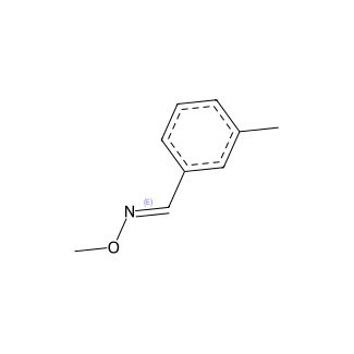 CO/N=C/c1cccc(C)c1